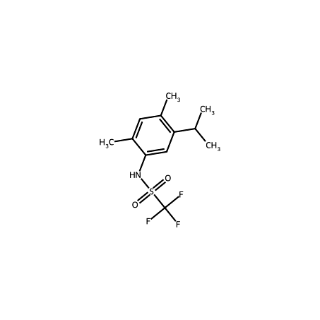 Cc1cc(C)c(C(C)C)cc1NS(=O)(=O)C(F)(F)F